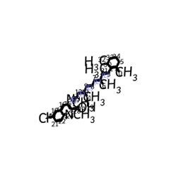 CC1=C(/C=C/C(C)=C/C=C/C(C)=C/C=N/c2cc3cc(Cl)ccc3nc2C(C)(C)O)C(C)(C)CCC1